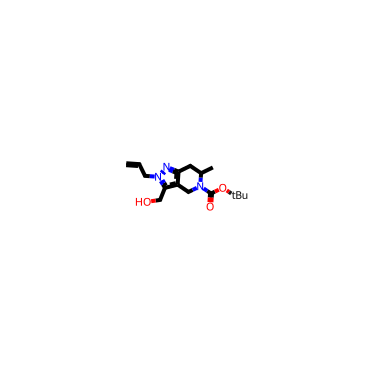 C=CCn1nc2c(c1CO)CN(C(=O)OC(C)(C)C)C(C)C2